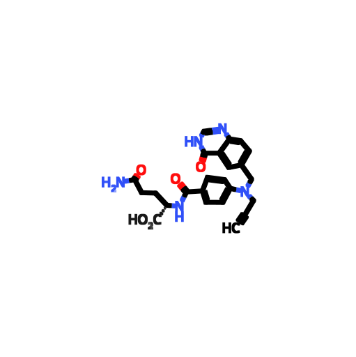 C#CCN(Cc1ccc2nc[nH]c(=O)c2c1)c1ccc(C(=O)N[C@@H](CCC(N)=O)C(=O)O)cc1